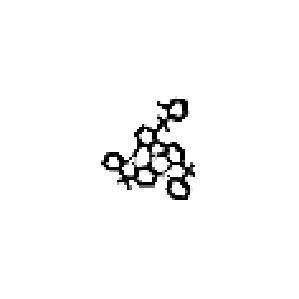 Cc1ccccc1C(C)(C)C1=C2C3=C4B5C6=C(CCC7=C6N(C6=CC=CCC6C7(C)C)C(C=C1)C52)N1C2=CCCC=C2C(C)(C)C(C=C3)C41